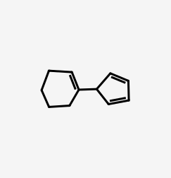 C1=CC(C2=CCCCC2)C=C1